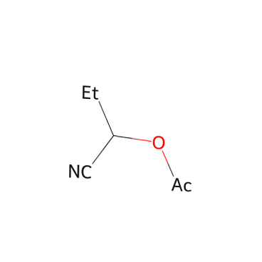 [CH2]CC(C#N)OC(C)=O